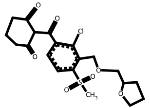 CS(=O)(=O)c1ccc(C(=O)C2C(=O)CCCC2=O)c(Cl)c1COCC1CCCO1